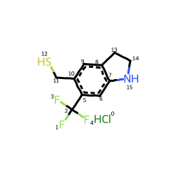 Cl.FC(F)(F)c1cc2c(cc1CS)CCN2